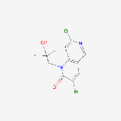 CC(C)(O)Cn1c(=O)c(Br)cc2cnc(Cl)cc21